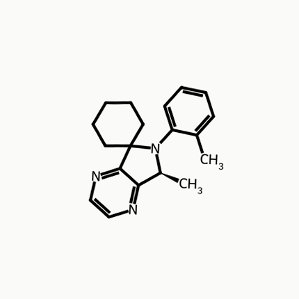 Cc1ccccc1N1[C@@H](C)c2nccnc2C12CCCCC2